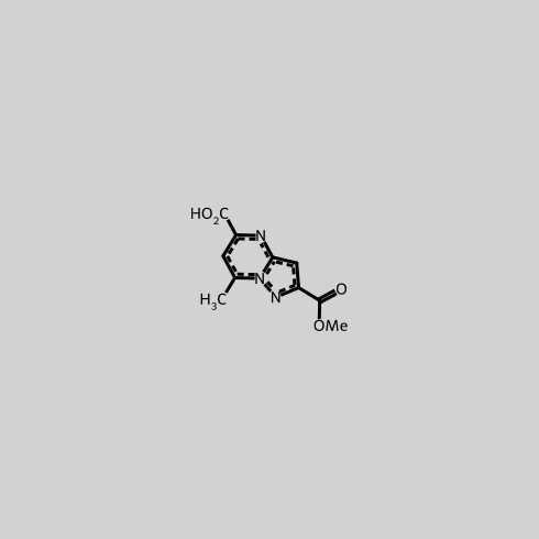 COC(=O)c1cc2nc(C(=O)O)cc(C)n2n1